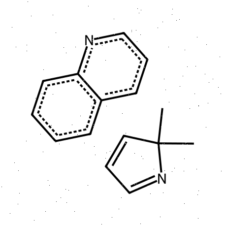 CC1(C)C=CC=N1.c1ccc2ncccc2c1